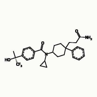 C[C@](O)(c1ccc(C(=O)N(C2CC2)C2CCC(CCC(N)=O)(c3ccccc3)CC2)cc1)C(F)(F)F